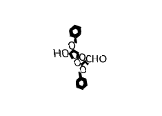 CC1(C=O)O[C@@]2(C[C@@H](O)[C@H](OCc3ccccc3)C2)OC1OCc1ccccc1